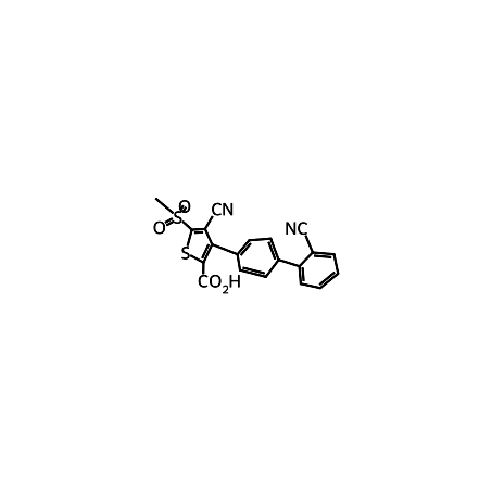 CS(=O)(=O)c1sc(C(=O)O)c(-c2ccc(-c3ccccc3C#N)cc2)c1C#N